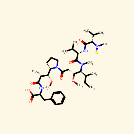 CCC(C)[C@@H]([C@@H](CC(=O)N1CCC[C@H]1[C@H](OC)[C@@H](C)C(=O)NC(Cc1ccccc1)C(=O)O)OC)N(C)C(=O)[C@@H](NC(=O)[C@H](C(C)C)N(C)S)C(C)C